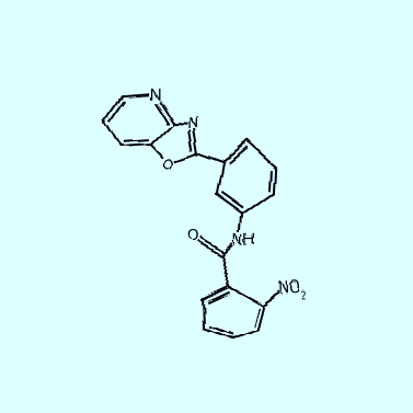 O=C(Nc1cccc(-c2nc3ncccc3o2)c1)c1ccccc1[N+](=O)[O-]